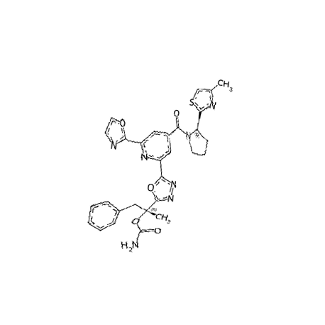 Cc1csc([C@H]2CCCN2C(=O)c2cc(-c3ncco3)nc(-c3nnc([C@@](C)(Cc4ccccc4)OC(N)=O)o3)c2)n1